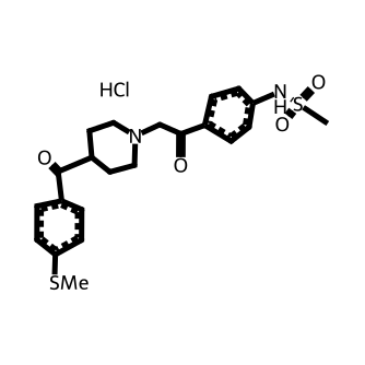 CSc1ccc(C(=O)C2CCN(CC(=O)c3ccc(NS(C)(=O)=O)cc3)CC2)cc1.Cl